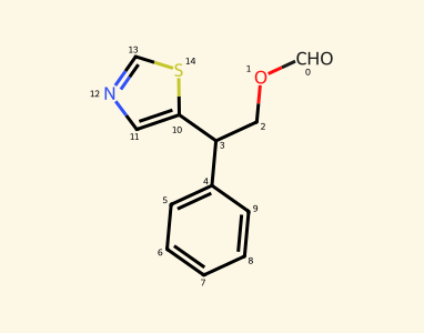 O=COCC(c1ccccc1)c1cncs1